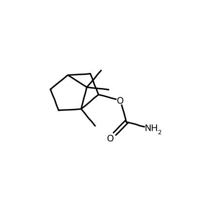 CC1(C)C2CCC1(C)C(OC(N)=O)C2